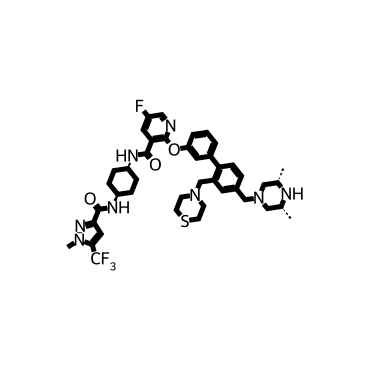 C[C@@H]1CN(Cc2ccc(-c3cccc(Oc4ncc(F)cc4C(=O)N[C@H]4CC[C@H](NC(=O)c5cc(C(F)(F)F)n(C)n5)CC4)c3)c(CN3CCSCC3)c2)C[C@H](C)N1